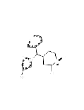 CC1CC(C(c2ccccc2)n2cc(N)cn2)CCS1(=O)=O